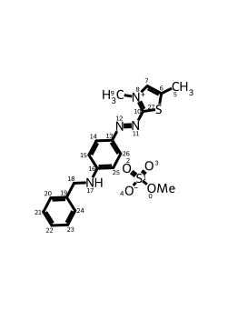 COS(=O)(=O)[O-].Cc1c[n+](C)c(N=Nc2ccc(NCc3ccccc3)cc2)s1